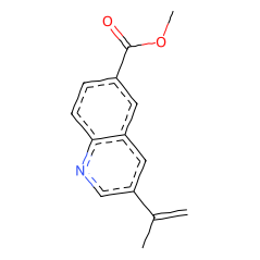 C=C(C)c1cnc2ccc(C(=O)OC)cc2c1